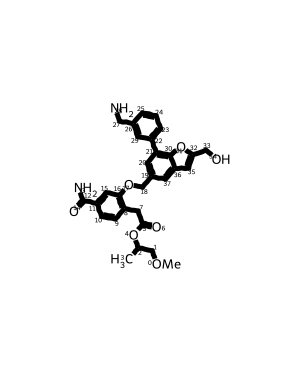 COCC(C)OC(=O)Cc1ccc(C(N)=O)cc1OCc1cc(-c2cccc(CN)c2)c2oc(CO)cc2c1